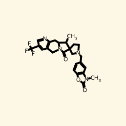 CC1C2Cc3ncc(C(F)(F)F)cc3CN2C(=O)C12CCN(Cc1ccc3oc(=O)n(C)c3c1)C2